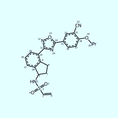 C=CS(=O)(=O)NC1CCc2c(-c3noc(-c4ccc(OC(C)C)c(C#N)c4)n3)cccc21